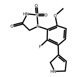 COc1ccc(C2=CCNC2)c(F)c1N1CC(=O)NS1(=O)=O